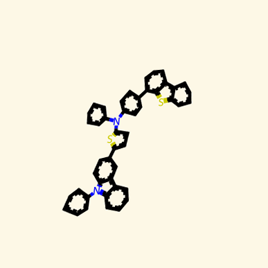 c1ccc(N(c2ccc(-c3cccc4c3sc3ccccc34)cc2)c2ccc(-c3ccc4c(c3)c3ccccc3n4-c3ccccc3)s2)cc1